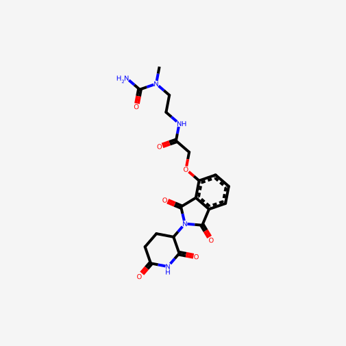 CN(CCNC(=O)COc1cccc2c1C(=O)N(C1CCC(=O)NC1=O)C2=O)C(N)=O